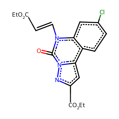 CCOC(=O)/C=C/n1c(=O)n2nc(C(=O)OCC)cc2c2ccc(Cl)cc21